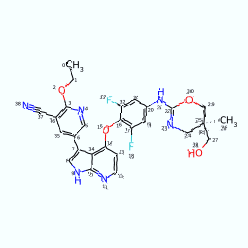 CCOc1ncc(-c2c[nH]c3nccc(Oc4c(F)cc(NC5=NC[C@](C)(CO)CO5)cc4F)c23)cc1C#N